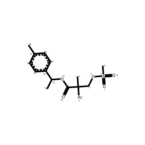 CC(=O)C(C)(COS(C)(=O)=O)C(=O)OC(C)c1ccc(C)cc1